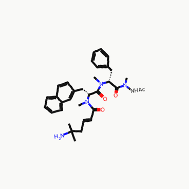 CC(=O)NN(C)C(=O)[C@@H](Cc1ccccc1)N(C)C(=O)[C@@H](Cc1ccc2ccccc2c1)N(C)C(=O)/C=C/CC(C)(C)N